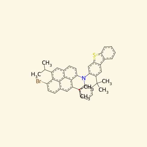 CC(C)c1cc2ccc(N3c4ccccc4C(C)(C)c4cc5c(cc43)sc3ccccc35)c3c(C(C)C)cc4ccc(Br)c1c4c23